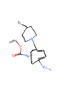 CC(C)(C)OC(N)=O.CCC1CCN(c2ccc(N)cc2)CC1